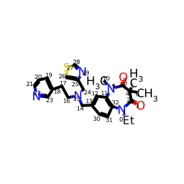 CCN1C(=O)C(C)(C)C(=O)N(C)c2cc(CN(CCc3cccnc3)Cc3cscn3)ccc21